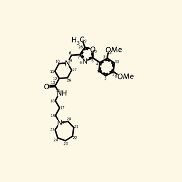 COc1ccc(-c2nc(CN3CCC(C(=O)NCCCN4CCCCCC4)CC3)c(C)o2)c(OC)c1